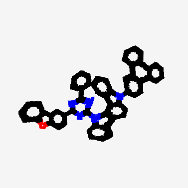 c1ccc(-c2nc(-c3ccc4oc5ccccc5c4c3)nc(-n3c4ccccc4c4ccc5c(c6ccccc6n5-c5ccc6c7ccccc7c7ccccc7c6c5)c43)n2)cc1